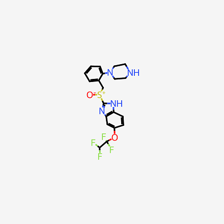 [O-][S+](Cc1ccccc1N1CCNCC1)c1nc2cc(OC(F)(F)C(F)F)ccc2[nH]1